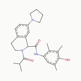 Cc1cc(NC(=O)C2c3cc(N4CCCC4)ccc3CCN2C(=O)C(C)C)c(C)c(C)c1O